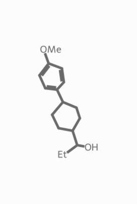 CCC(O)C1CCC(c2ccc(OC)cc2)CC1